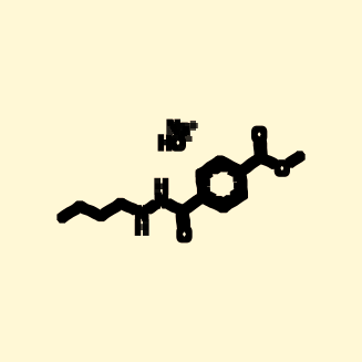 CCCCNNC(=O)c1ccc(C(=O)OC)cc1.[Na+].[OH-]